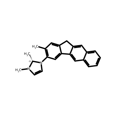 Cc1cc2c(cc1N1C=CN(C)[C@@H]1C)-c1cc3ccccc3cc1C2